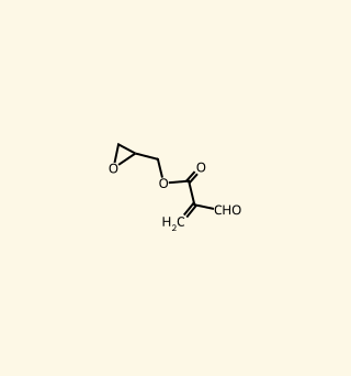 C=C(C=O)C(=O)OCC1CO1